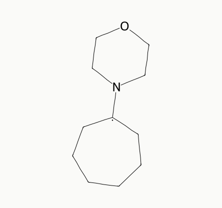 C1CCC[C](N2CCOCC2)CC1